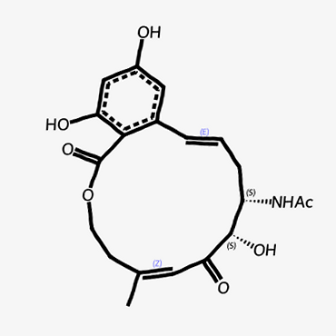 CC(=O)N[C@H]1C/C=C/c2cc(O)cc(O)c2C(=O)OCC/C(C)=C\C(=O)[C@H]1O